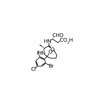 C[C@H](NC1(c2c(F)cc(Cl)cc2Br)CCCCO1)C(=O)N[C@H](C=O)CC(=O)O